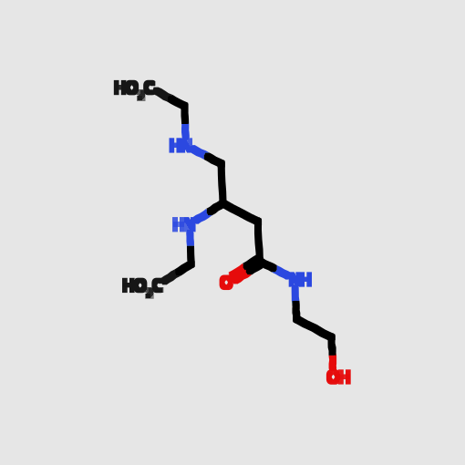 O=C(O)CNCC(CC(=O)NCCO)NCC(=O)O